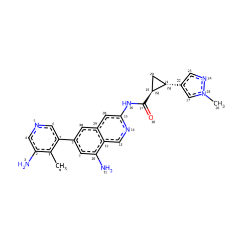 Cc1c(N)cncc1-c1cc(N)c2cnc(NC(=O)[C@H]3C[C@@H]3c3cnn(C)c3)cc2c1